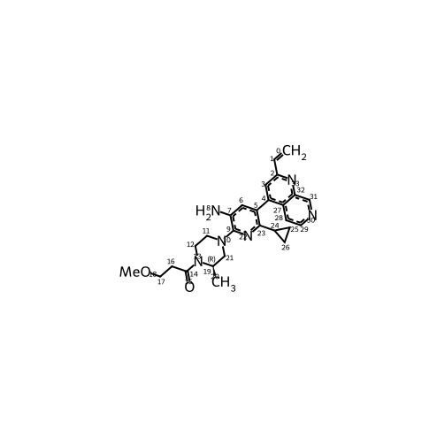 C=Cc1cc(-c2cc(N)c(N3CCN(C(=O)CCOC)[C@H](C)C3)nc2C2CC2)c2ccncc2n1